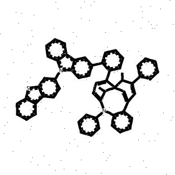 CC1C(c2ccccc2)=CC2=CC13C(c1ccccc1-c1ccc4c(c1)c1ccccc1n4-c1ccc4c(c1)sc1ccccc14)=CC=C(C3C)N(c1ccccc1)c1ccccc12